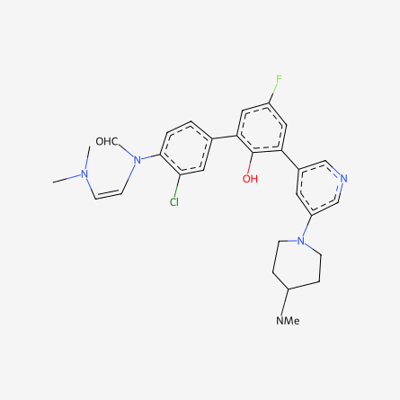 CNC1CCN(c2cncc(-c3cc(F)cc(-c4ccc(N(C=O)/C=C\N(C)C)c(Cl)c4)c3O)c2)CC1